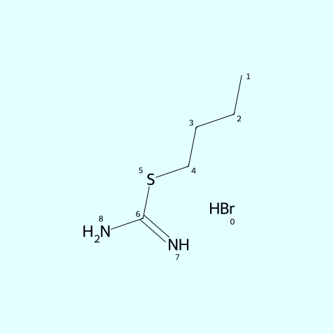 Br.CCCCSC(=N)N